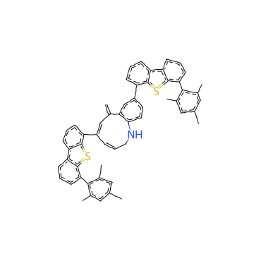 C=C1/C=C(c2cccc3c2sc2c(-c4c(C)cc(C)cc4C)cccc23)\C=C/CNc2ccc(-c3cccc4c3sc3c(-c5c(C)cc(C)cc5C)cccc34)cc21